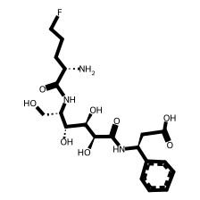 N[C@@H](CCCF)C(=O)N[C@@H](CO)[C@@H](O)[C@@H](O)[C@H](O)C(=O)N[C@@H](CC(=O)O)c1ccccc1